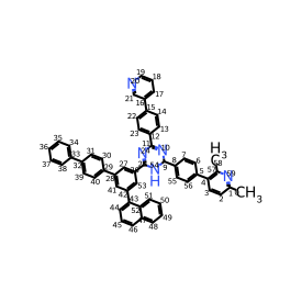 Cc1ccc(-c2ccc(C3N=C(c4ccc(-c5cccnc5)cc4)N=C(c4cc(-c5ccc(-c6ccccc6)cc5)cc(-c5cccc6ccccc56)c4)N3)cc2)c(C)n1